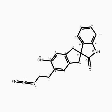 [N-]=[N+]=NCCc1cc2c(cc1N=O)CC1(C2)C(=O)Nc2ncccc21